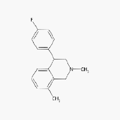 Cc1cccc2c1CN(C)CC2c1ccc(F)cc1